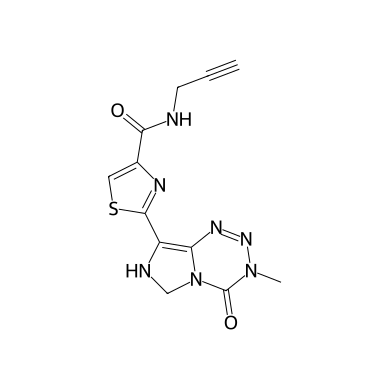 C#CCNC(=O)c1csc(C2=C3N=NN(C)C(=O)N3CN2)n1